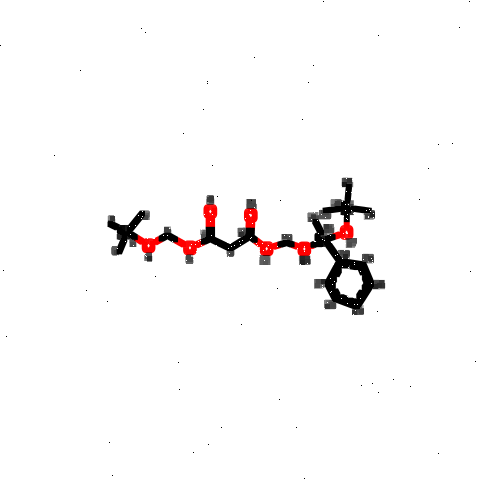 C[Si](C)(C)OCOC(=O)CC(=O)OCO[Si](C)(O[Si](C)(C)C)c1ccccc1